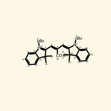 CCCCN1/C(=C/C(=C/C2=[N+](CCCC)c3ccccc3C2(C)C)C(=O)OCC)C(C)(C)c2ccccc21